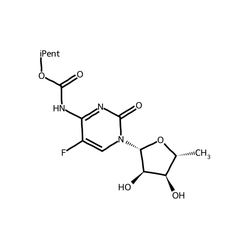 CCCC(C)OC(=O)Nc1nc(=O)n([C@@H]2O[C@H](C)[C@@H](O)[C@H]2O)cc1F